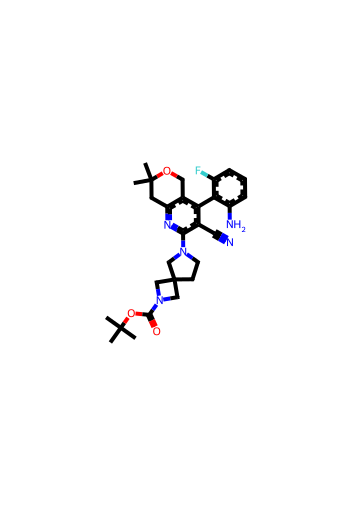 CC(C)(C)OC(=O)N1CC2(CCN(c3nc4c(c(-c5c(N)cccc5F)c3C#N)COC(C)(C)C4)C2)C1